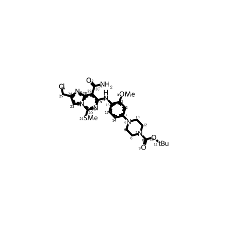 COc1cc(N2CCN(C(=O)OC(C)(C)C)CC2)ccc1Nc1nc(SC)n2cc(CCl)nc2c1C(N)=O